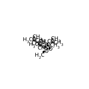 C=CO[Si]([O-])([O-])[O-].C[N+](C)(C)C.C[N+](C)(C)C.C[N+](C)(C)C